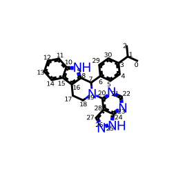 CC(C)c1ccc(C2c3[nH]c4ccccc4c3CCN2c2ncnc3[nH]ncc23)cc1